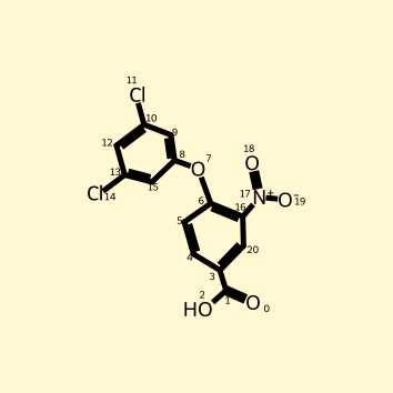 O=C(O)c1ccc(Oc2cc(Cl)cc(Cl)c2)c([N+](=O)[O-])c1